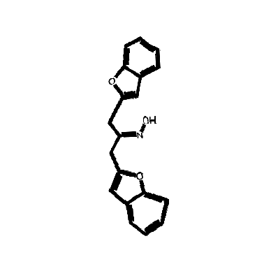 ON=C(Cc1cc2ccccc2o1)Cc1cc2ccccc2o1